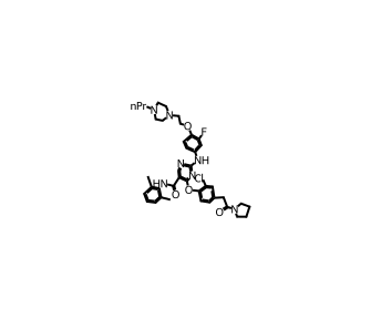 CCCN1CCN(CCOc2ccc(Nc3ncc(C(=O)Nc4c(C)cccc4C)c(Oc4ccc(CC(=O)N5CCCC5)cc4Cl)n3)cc2F)CC1